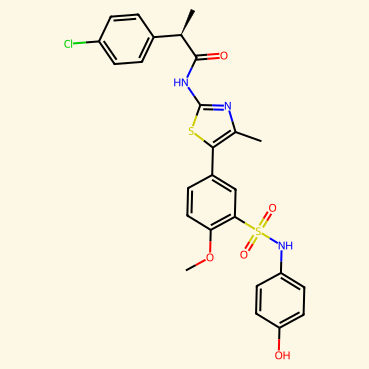 COc1ccc(-c2sc(NC(=O)[C@H](C)c3ccc(Cl)cc3)nc2C)cc1S(=O)(=O)Nc1ccc(O)cc1